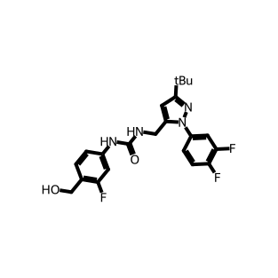 CC(C)(C)c1cc(CNC(=O)Nc2ccc(CO)c(F)c2)n(-c2ccc(F)c(F)c2)n1